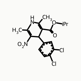 CC1=C(C(=O)OC(C)C)C(c2ccc(Cl)c(Cl)c2)C([N+](=O)[O-])=C(C)N1